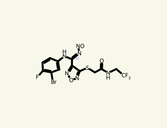 O=N/N=C(\Nc1ccc(F)c(Br)c1)c1nonc1SCC(=O)NCC(F)(F)F